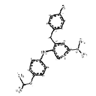 CC(C)Oc1ccc(Nc2cnc(N(C)C)nc2Cc2ccc(Cl)cc2)cc1